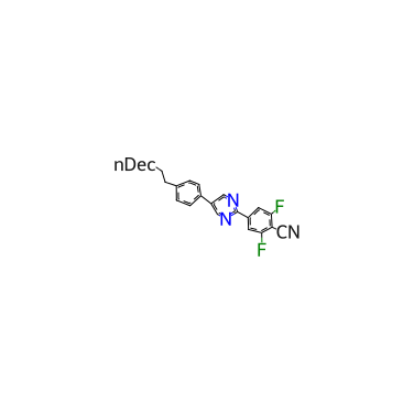 CCCCCCCCCCCCc1ccc(-c2cnc(-c3cc(F)c(C#N)c(F)c3)nc2)cc1